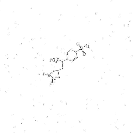 CCS(=O)(=O)C1C=CC(C(CC2C[C@@H](F)[C@@H](F)C2)C(=O)O)=CC1